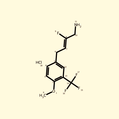 COc1ccc(CC=C(F)CN)cc1C(F)(F)F.Cl